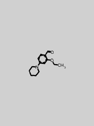 CCOc1cc(N2CCCCC2)ccc1C=O